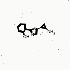 N[C@@H]1C[C@@H]1c1cnc(-c2ccccc2O)s1